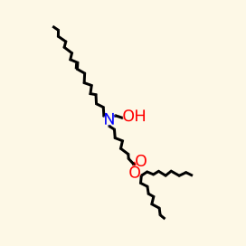 CCCCCCC/C=C/CCCCCCCCN(CCO)CCCCCCCC(=O)OC(CCCCCCCC)CCCCCCCC